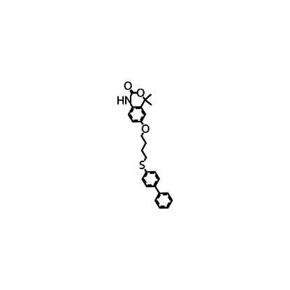 CC1(C)OC(=O)Nc2ccc(OCCCCSc3ccc(-c4ccccc4)cc3)cc21